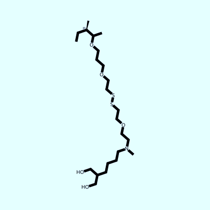 CC[C@@H](C)C(C)OCCCOCCSSCCOCCN(C)CCCCC(CO)CO